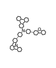 c1ccc2c(c1)oc1cc(-c3ccc(N(c4ccc(-c5ccc6c7cccc8c9ccccc9n(c6c5)c87)cc4)c4ccc5c6ccccc6c6ccccc6c5c4)cc3)ccc12